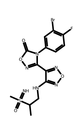 CC(CNc1nonc1-c1noc(=O)n1-c1ccc(F)c(Br)c1)S(C)(=N)=O